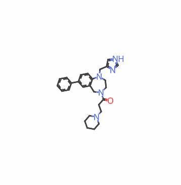 O=C(CCN1CCCCC1)N1CCN(Cc2c[nH]cn2)c2ccc(-c3ccccc3)cc2C1